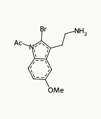 COc1ccc2c(c1)c(CCN)c(Br)n2C(C)=O